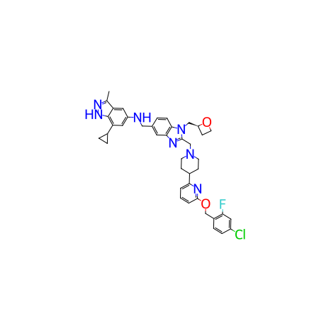 Cc1n[nH]c2c(C3CC3)cc(NCc3ccc4c(c3)nc(CN3CCC(c5cccc(OCc6ccc(Cl)cc6F)n5)CC3)n4C[C@@H]3CCO3)cc12